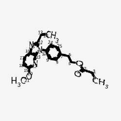 CCC(=O)OCCc1ccc(-n2c(CC)nc3ccc(OC)nc32)cc1